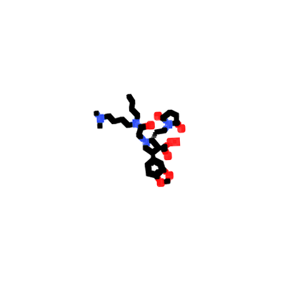 CCCCN(CCCCN(C)C)C(=O)CN1C[C@H](c2ccc3c(c2)OCO3)[C@H](C(=O)O)[C@H]1CCN1C(=O)CCC1=O